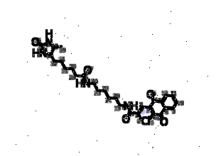 C/C(=C\C1=C(Cl)C(=O)c2ccccc2C1=O)C(=O)NCCCCCCNC(=O)CCCCC[C@H]1NC(=O)N[C@H]1C